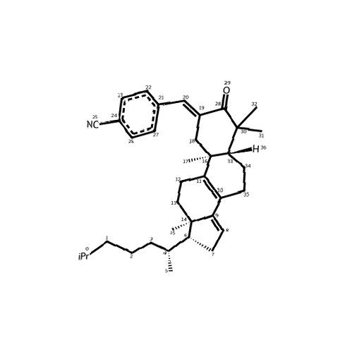 CC(C)CCC[C@@H](C)[C@H]1CC=C2C3=C(CC[C@@]21C)[C@@]1(C)C/C(=C\c2ccc(C#N)cc2)C(=O)C(C)(C)[C@@H]1CC3